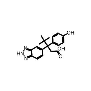 CC(C)(C)C(CC(=O)O)(c1ccc(O)cc1)c1ccc2n[nH]nc2c1